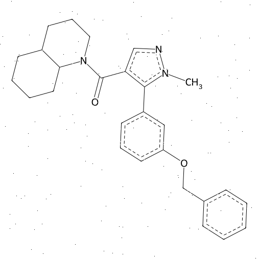 Cn1ncc(C(=O)N2CCCC3CCCCC32)c1-c1cccc(OCc2ccccc2)c1